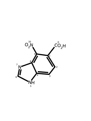 O=C(O)c1ccc2[nH]cnc2c1[N+](=O)[O-]